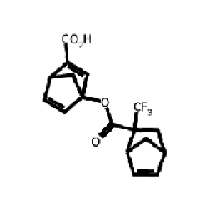 O=C(O)C1=CC2(OC(=O)C3(C(F)(F)F)CC4C=CC3C4)C=CC1C2